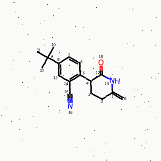 C=C1CCC(c2ccc(C(C)(C)C)cc2C#N)C(=O)N1